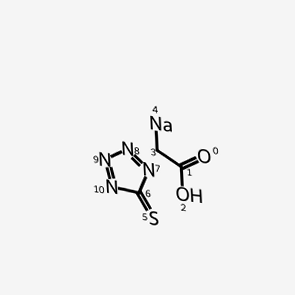 O=C(O)[CH2][Na].S=C1N=NN=N1